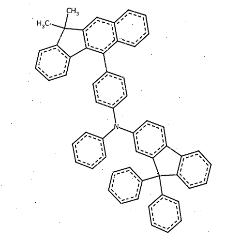 CC1(C)c2ccccc2-c2c1cc1ccccc1c2-c1ccc(N(c2ccccc2)c2ccc3c(c2)C(c2ccccc2)(c2ccccc2)c2ccccc2-3)cc1